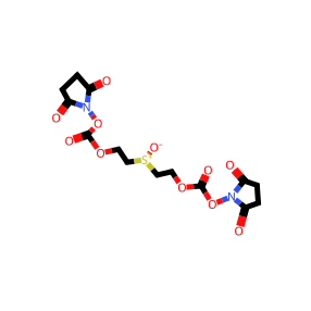 O=C(OCC[S+]([O-])CCOC(=O)ON1C(=O)CCC1=O)ON1C(=O)CCC1=O